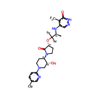 [2H]C([2H])(O[C@@H]1CCN([C@@H]2CCN(c3ccc(C#N)cn3)C[C@H]2O)C1=O)[C@H](C)Nc1cn[nH]c(=O)c1C(F)(F)F